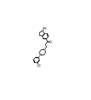 CC(=O)N1CCc2cc(C(=O)CCN3CCN(c4cccc(Cl)c4)CC3)ccc21